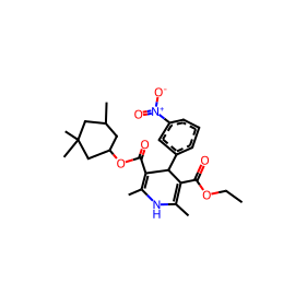 CCOC(=O)C1=C(C)NC(C)=C(C(=O)OC2CC(C)CC(C)(C)C2)C1c1cccc([N+](=O)[O-])c1